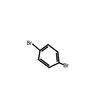 Brc1[c][c]c(Br)cc1